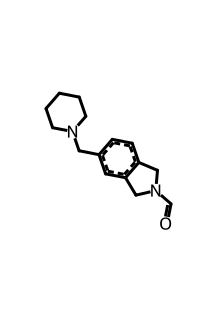 O=CN1Cc2ccc(CN3CCCCC3)cc2C1